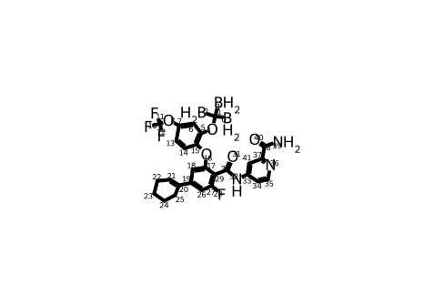 BC(B)(B)Oc1cc(OC(F)(F)F)ccc1Oc1cc(C2=CCCCC2)cc(F)c1C(=O)Nc1ccnc(C(N)=O)c1